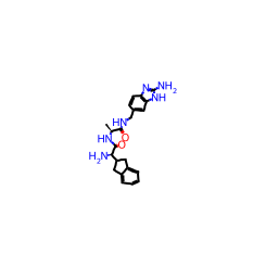 C[C@H](NC(=O)[C@H](N)C1Cc2ccccc2C1)C(=O)NCc1ccc2nc(N)[nH]c2c1